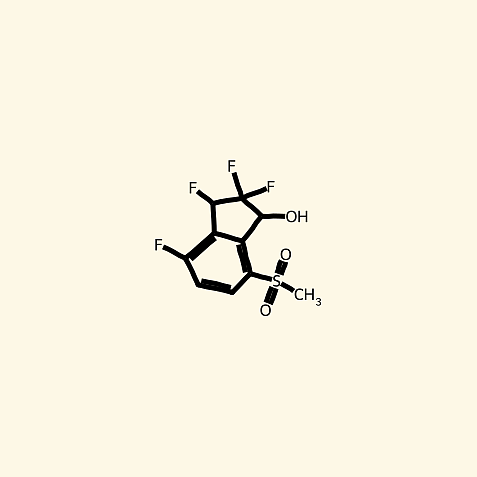 CS(=O)(=O)c1ccc(F)c2c1C(O)C(F)(F)C2F